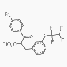 CCOC(=O)C(Cc1cccc(OC(F)(F)C(F)F)c1)C(=O)c1ccc(Br)cc1